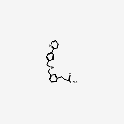 COC(=O)CCc1cccc(CNCc2ccc(-c3cnccn3)cc2)c1